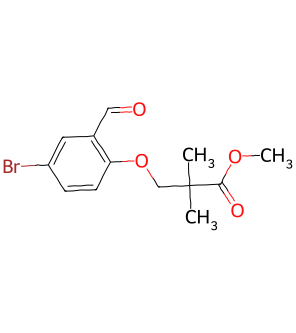 COC(=O)C(C)(C)COc1ccc(Br)cc1C=O